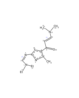 CCN(/C=N\c1nc(C)c(C(=O)/C=C/N(C)C)s1)CC